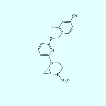 N#Cc1ccc(COc2cccc(N3CCN(C(=O)O)C4CC43)n2)c(F)c1